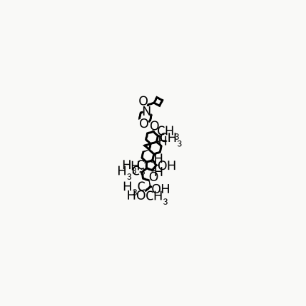 C[C@@H]1C[C@H](C(O)C(C)(C)O)O[C@H]2C1[C@@]1(C)CC[C@@]34CC35CCC(OC3CN(C(=O)C6CCC6)CCO3)C(C)(C)[C@@H]5CC[C@H]4[C@]1(C)[C@H]2O